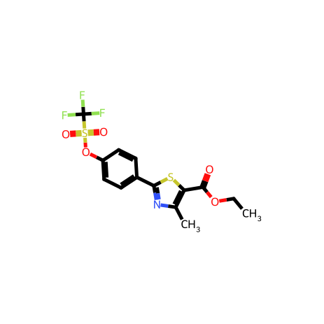 CCOC(=O)c1sc(-c2ccc(OS(=O)(=O)C(F)(F)F)cc2)nc1C